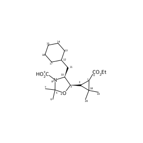 CCOC(=O)C1C([C@H]2OC(C)(C)N(C(=O)O)[C@H]2CC2CCCCC2)C1(C)C